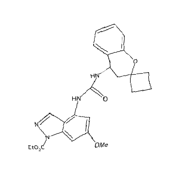 CCOC(=O)n1ncc2c(NC(=O)NC3CC4(CCC4)Oc4ccccc43)cc(OC)cc21